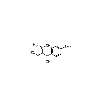 CSc1ccc(C(O)[C@@H](CO)N(C)C)cc1